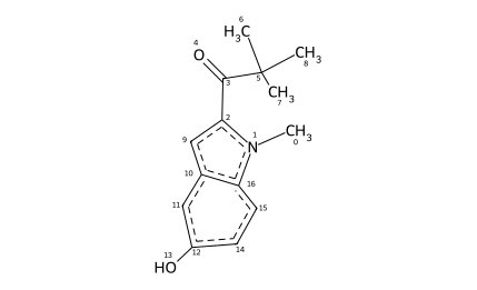 Cn1c(C(=O)C(C)(C)C)cc2cc(O)ccc21